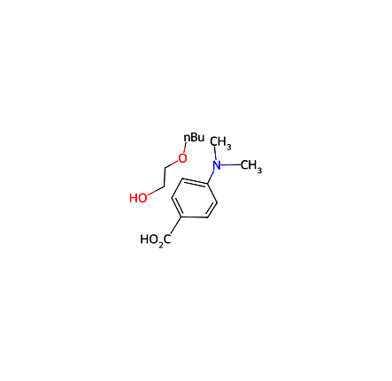 CCCCOCCO.CN(C)c1ccc(C(=O)O)cc1